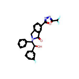 O=C1c2cc(-c3nnc(C(F)F)o3)ccc2CN1C(c1ccccc1)C(O)c1cccc(F)c1